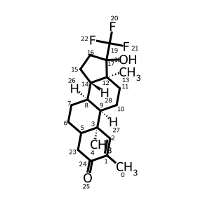 CC1=C[C@@]2(C)C(CC[C@@H]3[C@H]2CC[C@@]2(C)[C@H]3CCC2(O)C(F)(F)F)CC1=O